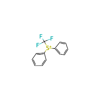 FC(F)(F)[S+](c1ccccc1)c1ccccc1